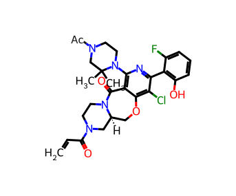 C=CC(=O)N1CCN2C(=O)c3c(N4CCN(C(C)=O)CC4(C)C)nc(-c4c(O)cccc4F)c(Cl)c3OC[C@H]2C1